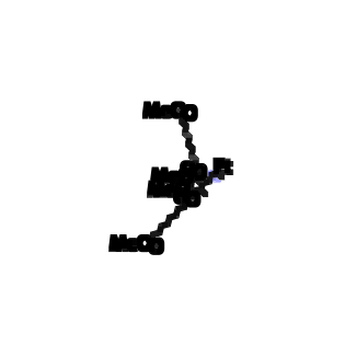 CC/C(C)=C/Cc1c(C)c(OC(=O)CCCCCCCCC(=O)OC)c(OC)c(OC)c1OC(=O)CCCCCCCCC(=O)OC